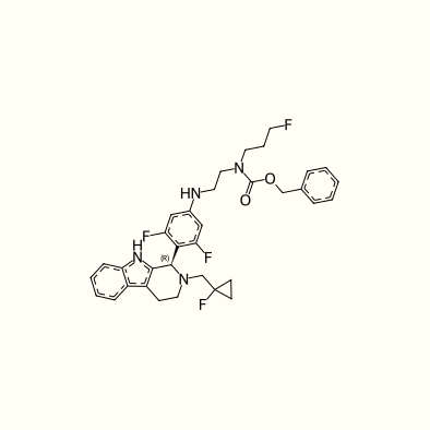 O=C(OCc1ccccc1)N(CCCF)CCNc1cc(F)c([C@@H]2c3[nH]c4ccccc4c3CCN2CC2(F)CC2)c(F)c1